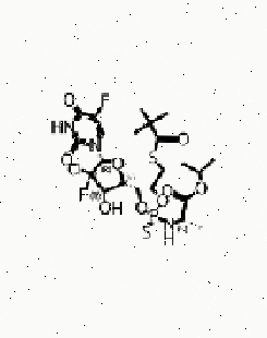 CC(C)OC(=O)[C@H](C)NP(=S)(OCCSC(=O)C(C)(C)C)OC[C@H]1O[C@@H](n2cc(F)c(=O)[nH]c2=O)[C@@](F)(Cl)[C@@H]1O